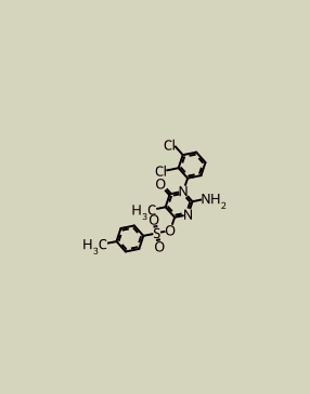 Cc1ccc(S(=O)(=O)Oc2nc(N)n(-c3cccc(Cl)c3Cl)c(=O)c2C)cc1